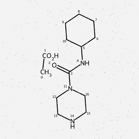 CC(=O)O.O=C(NC1CCCCC1)N1CCNCC1